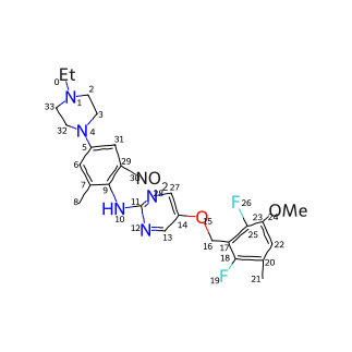 CCN1CCN(c2cc(C)c(Nc3ncc(OCc4c(F)c(C)cc(OC)c4F)cn3)c([N+](=O)[O-])c2)CC1